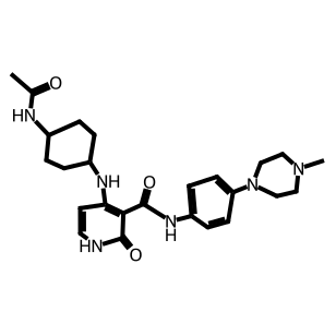 CC(=O)NC1CCC(Nc2cc[nH]c(=O)c2C(=O)Nc2ccc(N3CCN(C)CC3)cc2)CC1